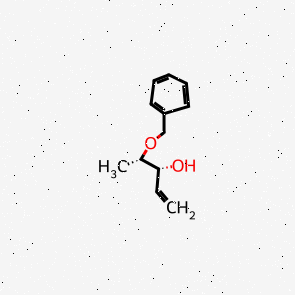 C=C[C@@H](O)[C@H](C)OCc1ccccc1